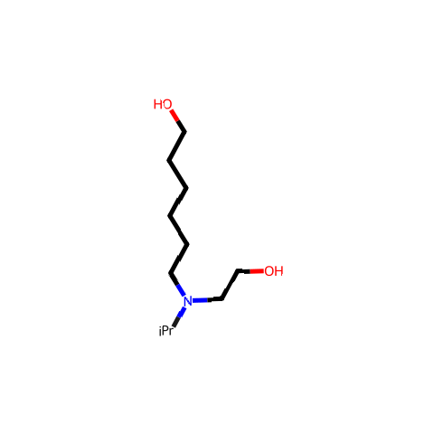 CC(C)N(CCO)CCCCCCO